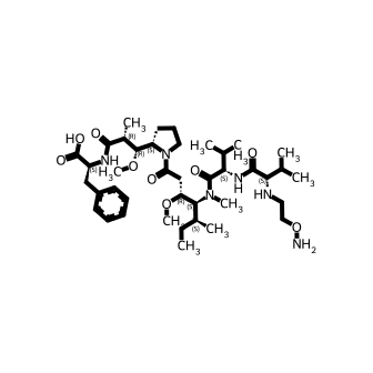 CC[C@H](C)[C@@H]([C@@H](CC(=O)N1CCC[C@H]1[C@H](OC)[C@@H](C)C(=O)N[C@@H](Cc1ccccc1)C(=O)O)OC)N(C)C(=O)[C@@H](NC(=O)[C@@H](NCCON)C(C)C)C(C)C